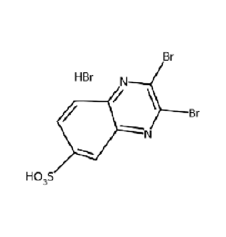 Br.O=S(=O)(O)c1ccc2nc(Br)c(Br)nc2c1